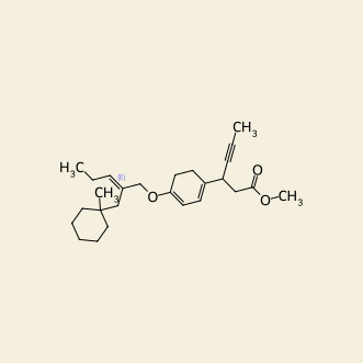 CC#CC(CC(=O)OC)C1=CC=C(OC/C(=C/CC)CC2(C)CCCCC2)CC1